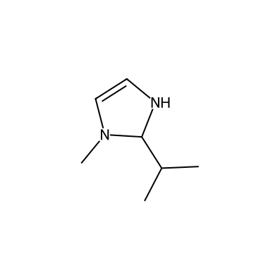 CC(C)C1NC=CN1C